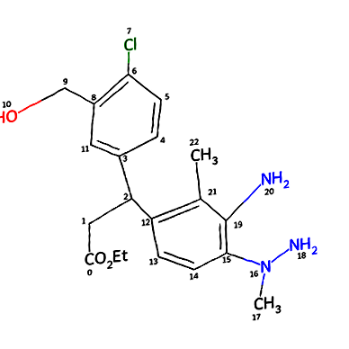 CCOC(=O)CC(c1ccc(Cl)c(CO)c1)c1ccc(N(C)N)c(N)c1C